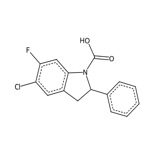 O=C(O)N1c2cc(F)c(Cl)cc2CC1c1ccccc1